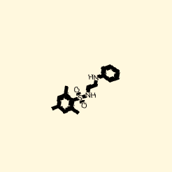 Cc1cc(C)c(S(=O)(=O)NCCNc2ccccc2)c(C)c1